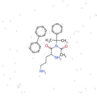 CC(=O)N(C(=O)C(N)CCCN)C(C)(C)c1ccccc1.c1ccc(-c2ccccc2)cc1